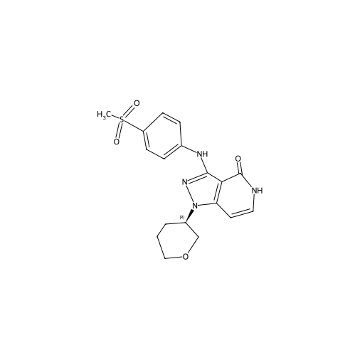 CS(=O)(=O)c1ccc(Nc2nn([C@@H]3CCCOC3)c3cc[nH]c(=O)c23)cc1